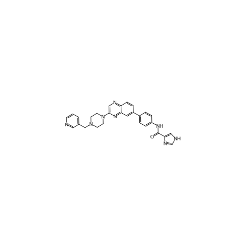 O=C(Nc1ccc(-c2ccc3ncc(N4CCN(Cc5cccnc5)CC4)nc3c2)cc1)c1c[nH]cn1